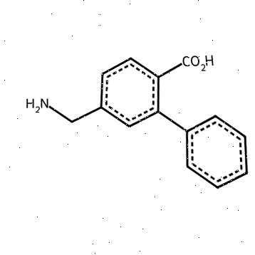 NCc1ccc(C(=O)O)c(-c2ccccc2)c1